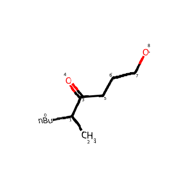 CCCCC(C)C(=O)CCC[O]